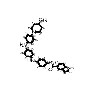 O=C(Nc1ccc(Nc2ccc(Nc3ccc(N4CCC(O)CC4)cc3)cc2)cc1)c1ccc2[nH]ccc2c1